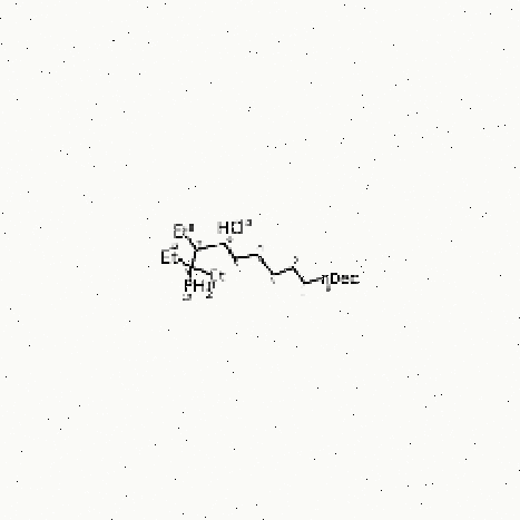 CCCCCCCCCCCCCCCCC(CC)C(P)(CC)CC.Cl